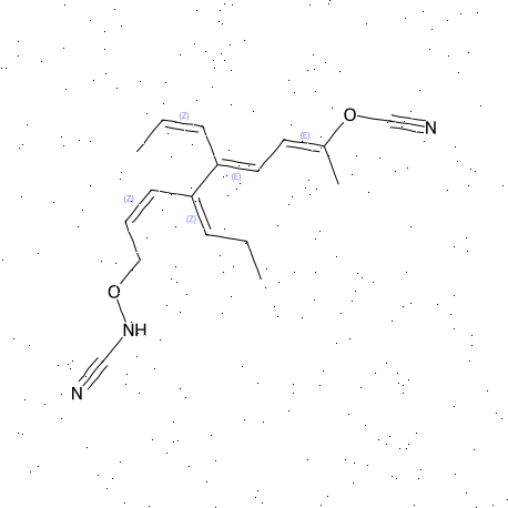 C\C=C/C(=C\C=C(/C)OC#N)C(/C=C\CONC#N)=C\CC